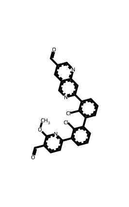 COc1nc(-c2cccc(-c3cccc(-c4cc5ncc(C=O)cc5cn4)c3Cl)c2Cl)ccc1C=O